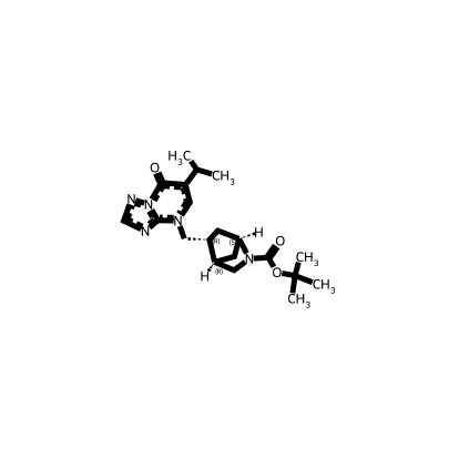 CC(C)c1cn(C[C@@H]2C[C@@H]3C[C@H]2CN3C(=O)OC(C)(C)C)c2ncnn2c1=O